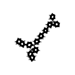 c1ccc(-n2c3ccccc3c3cc(-c4ccc(-c5ccc(-c6ccc(N(c7ccc(-c8ccc9ccccc9c8)cc7)c7cccc8c7oc7ccc9ccccc9c78)cc6)cc5)cc4)ccc32)cc1